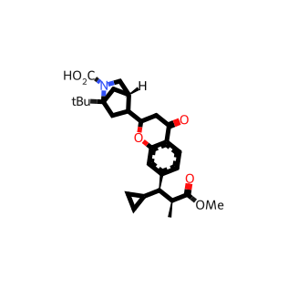 COC(=O)[C@@H](C)[C@H](c1ccc2c(c1)OC(C1CC3(C(C)(C)C)C[C@@H]1CN3C(=O)O)CC2=O)C1CC1